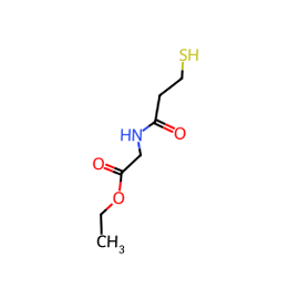 CCOC(=O)CNC(=O)CCS